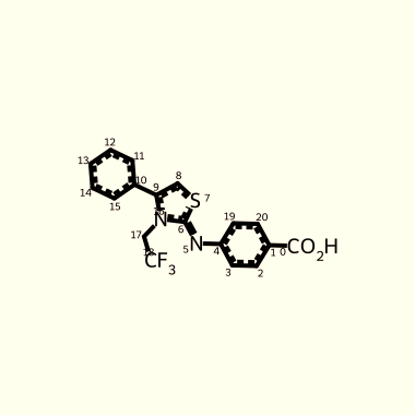 O=C(O)c1ccc(/N=c2\scc(-c3ccccc3)n2CC(F)(F)F)cc1